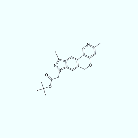 Cc1cc2c(cn1)-c1cc3c(I)nn(CC(=O)OC(C)(C)C)c3cc1CO2